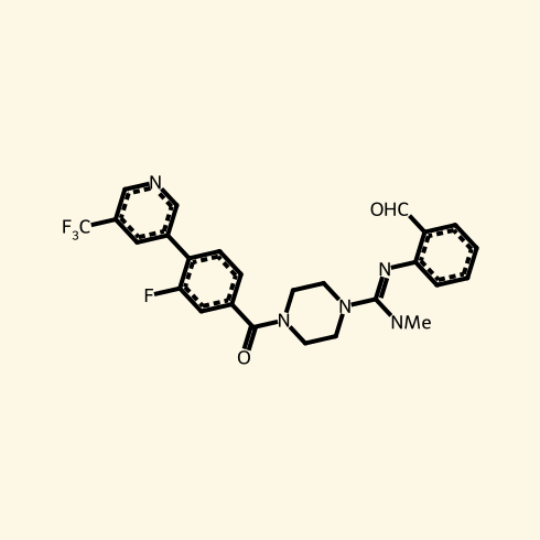 CN/C(=N\c1ccccc1C=O)N1CCN(C(=O)c2ccc(-c3cncc(C(F)(F)F)c3)c(F)c2)CC1